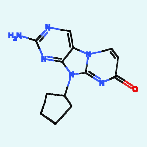 Nc1ncc2c(n1)n(C1CCCC1)c1nc(=O)ccn21